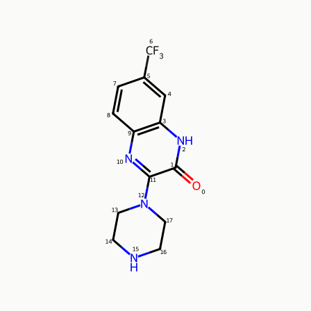 O=c1[nH]c2cc(C(F)(F)F)ccc2nc1N1CCNCC1